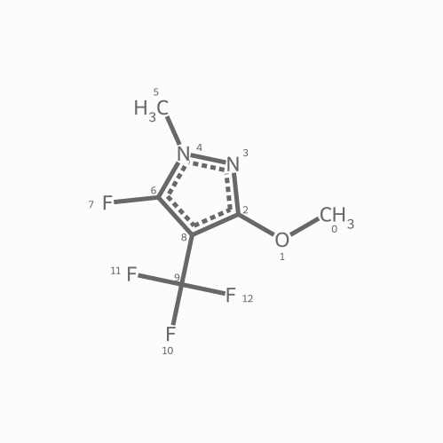 COc1nn(C)c(F)c1C(F)(F)F